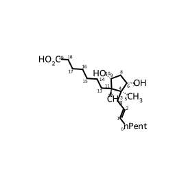 CCCCCC=CC[C@]1(C)[C@@H](O)C[C@@H](O)[C@@]1(C)CCCCCCC(=O)O